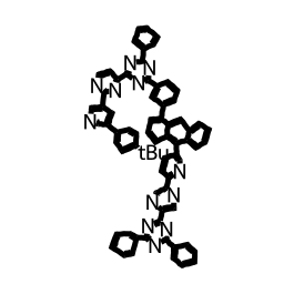 CC(C)(C)c1ccc(-c2cncc(-c3nccc(-c4nc(-c5ccccc5)nc(-c5cccc(-c6cccc7c(-c8ccc(-c9cnc(-c%10nc(-c%11ccccc%11)nc(-c%11ccccc%11)n%10)cn9)nc8)c8ccccc8cc67)c5)n4)n3)c2)cc1